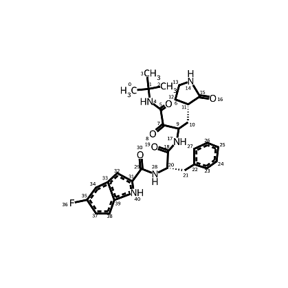 CC(C)(C)NC(=O)C(=O)C(C[C@@H]1CCNC1=O)NC(=O)[C@H](Cc1ccccc1)NC(=O)c1cc2cc(F)ccc2[nH]1